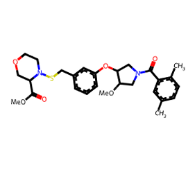 COC(=O)C1COCCN1SCc1cccc(OC2CN(C(=O)c3cc(C)ccc3C)CC2OC)c1